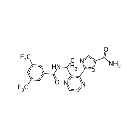 CC(NC(=O)c1cc(C(F)(F)F)cc(C(F)(F)F)c1)c1nccnc1-c1ncc(C(N)=O)s1